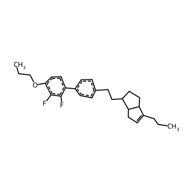 CCCOc1ccc(-c2ccc(CCC3CCC4C(CCC)=CCC34)cc2)c(F)c1F